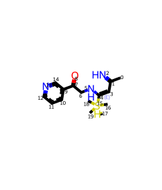 CC(=N)/C=C(\NCC(=O)c1cccnc1)[SH](C)(C)(C)C